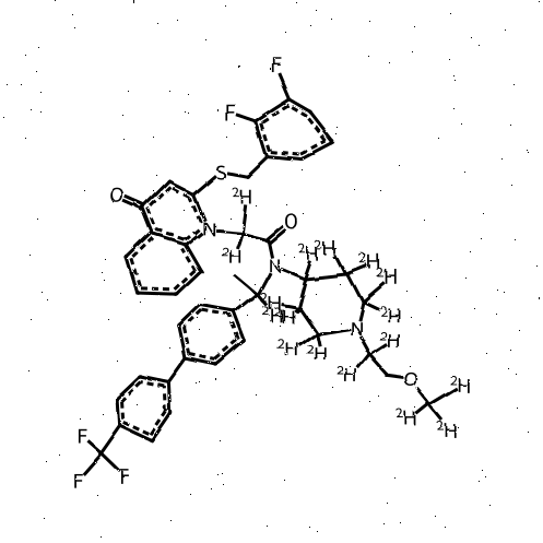 [2H]C([2H])([2H])OCC([2H])([2H])N1C([2H])([2H])C([2H])([2H])C([2H])(N(C(=O)C([2H])([2H])n2c(SCc3cccc(F)c3F)cc(=O)c3ccccc32)C([2H])(C)c2ccc(-c3ccc(C(F)(F)F)cc3)cc2)C([2H])([2H])C1([2H])[2H]